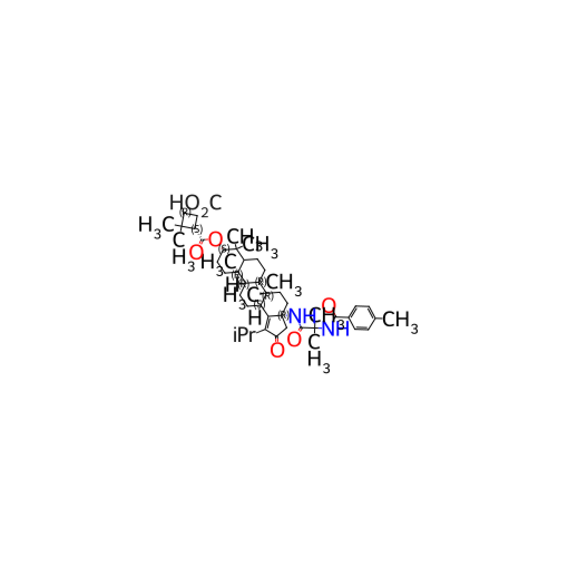 Cc1ccc(C(=O)NC(C)(C)C(=O)N[C@@]23CC[C@]4(C)[C@H](CC[C@@H]5[C@@]6(C)CC[C@H](OC(=O)[C@H]7C[C@@H](C(=O)O)C7(C)C)C(C)(C)C6CC[C@]54C)C2=C(C(C)C)C(=O)C3)cc1